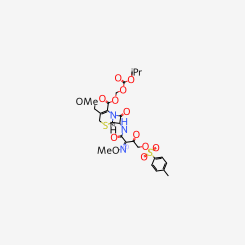 COCC1=C(C(=O)OCOC(=O)OC(C)C)N2C(=O)C(NC(=O)/C(=N\OC)C(=O)COS(=O)(=O)c3ccc(C)cc3)[C@H]2SC1